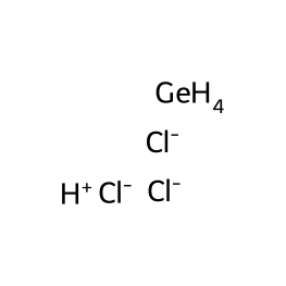 [Cl-].[Cl-].[Cl-].[GeH4].[H+]